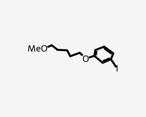 COCCCCCOc1cccc(I)c1